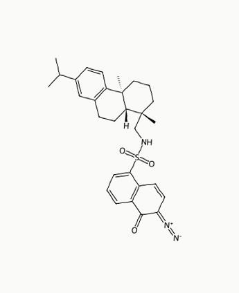 CC(C)c1ccc2c(c1)CC[C@H]1[C@@](C)(CNS(=O)(=O)c3cccc4c3C=CC(=[N+]=[N-])C4=O)CCC[C@]21C